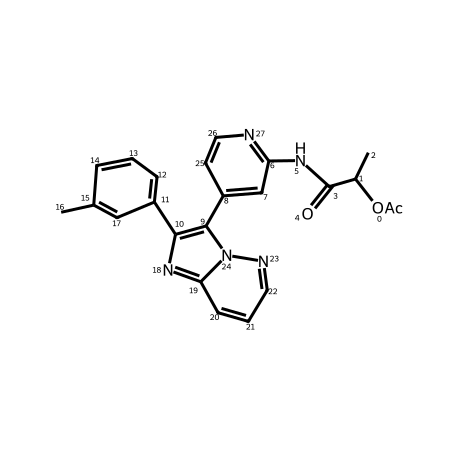 CC(=O)OC(C)C(=O)Nc1cc(-c2c(-c3cccc(C)c3)nc3cccnn23)ccn1